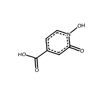 O=C(O)c1ccn(O)c(=O)c1